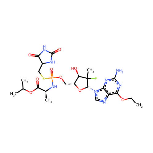 CCOc1nc(N)nc2c1ncn2[C@@H]1O[C@H](COP(=O)(N[C@@H](C)C(=O)OC(C)C)SCC2NC(=O)NC2=O)[C@@H](O)C1(C)F